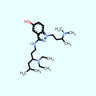 CCN(CC)C(CCNc1nn(CCC(C)N(C)C)c2ccc(O)cc12)CC(C)C